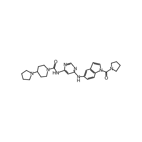 O=C(Nc1cc(Nc2ccc3c(ccn3C(=O)N3CCCC3)c2)ncn1)N1CCC(N2CCCC2)CC1